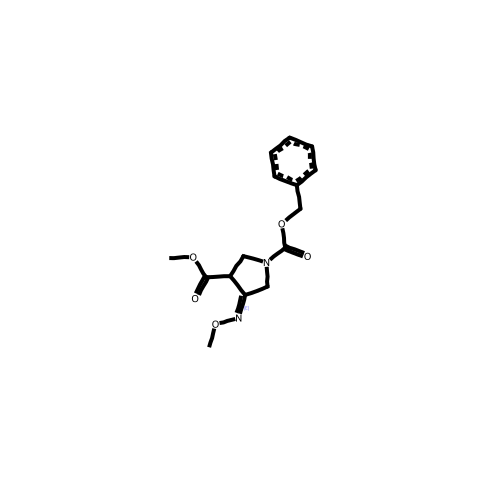 CO/N=C1/CN(C(=O)OCc2ccccc2)CC1C(=O)OC